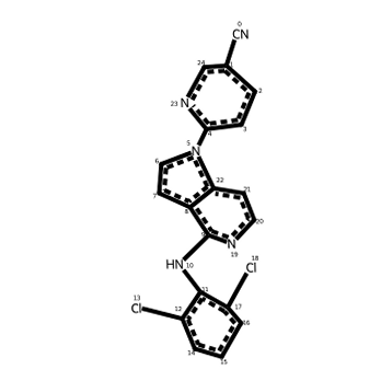 N#Cc1ccc(-n2ccc3c(Nc4c(Cl)cccc4Cl)nccc32)nc1